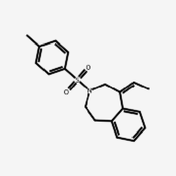 C/C=C1/CN(S(=O)(=O)c2ccc(C)cc2)CCc2ccccc21